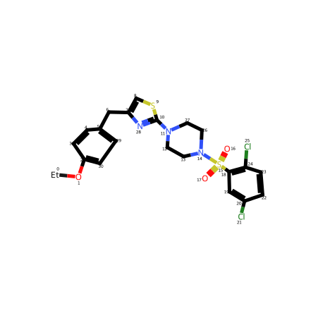 CCOc1ccc(Cc2csc(N3CCN(S(=O)(=O)c4cc(Cl)ccc4Cl)CC3)n2)cc1